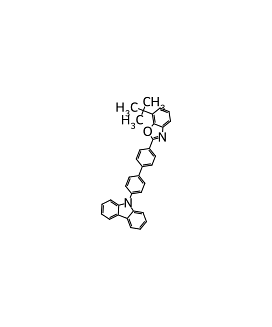 CC(C)(C)c1cccc2nc(-c3ccc(-c4ccc(-n5c6ccccc6c6ccccc65)cc4)cc3)oc12